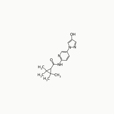 CC1(C)C(C(=O)Nc2ccc(-n3cc(O)cn3)cn2)C1(C)C